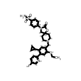 CCOc1cc(-c2ccc(F)cn2)c(C2CC2)cc1CN1CCC2(CC1)CN(c1ccc(S(N)(=O)=O)cc1)C(=O)O2